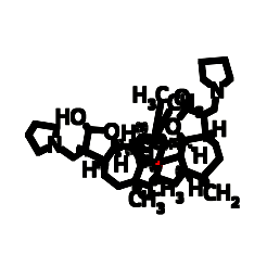 C=C1CC[C@H]2C(CN3CCCC3)C(=O)O[C@@H]2C2[C@H]1CC(=O)[C@]21CC[C@@]23OC(C)(C)O[C@]21C[C@@H]1[C@H]3[C@H]2OC(O)[C@H](CN3CCCC3)[C@@H]2CCC1(C)C